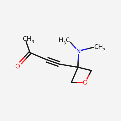 CC(=O)C#CC1(N(C)C)COC1